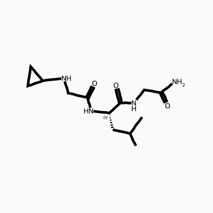 CC(C)C[C@H](NC(=O)CNC1CC1)C(=O)NCC(N)=O